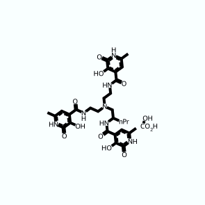 CCCC(CN(CCNC(=O)c1cc(C)[nH]c(=O)c1O)CCNC(=O)c1cc(C)[nH]c(=O)c1O)NC(=O)c1cc(C)[nH]c(=O)c1O.O=C(O)O